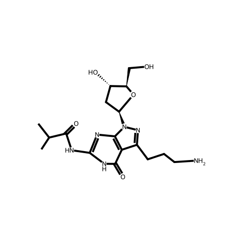 CC(C)C(=O)Nc1nc2c(c(CCCN)nn2[C@H]2C[C@H](O)[C@@H](CO)O2)c(=O)[nH]1